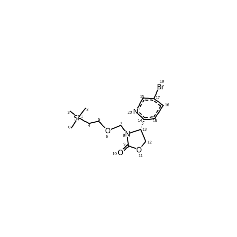 C[Si](C)(C)CCOCN1C(=O)OC[C@H]1c1ccc(Br)cn1